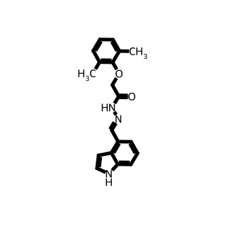 Cc1cccc(C)c1OCC(=O)NN=Cc1cccc2[nH]ccc12